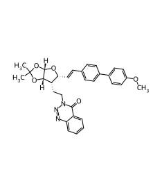 COc1ccc(-c2ccc(C=C[C@H]3O[C@H]4OC(C)(C)O[C@H]4[C@H]3CCn3nnc4ccccc4c3=O)cc2)cc1